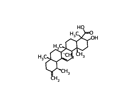 C=C1CC[C@]2(C)CC[C@]3(C)C(=CCC4[C@@]5(C)CCC(O)C(C)(C(=O)O)C5CC[C@]43C)C2[C@H]1C